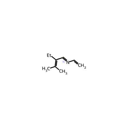 C=C/N=C/C(CC)=C(C)C